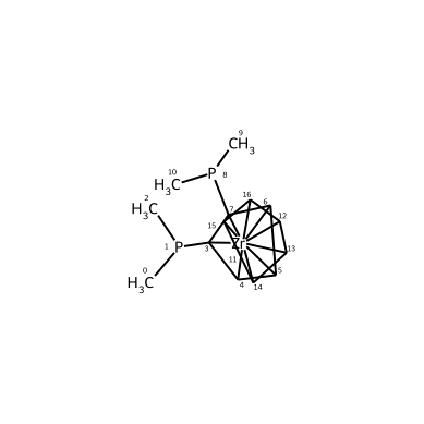 CP(C)[C]12[CH]3[CH]4[CH]5[C]1(P(C)C)[Zr]43521678[CH]2[CH]1[CH]6[CH]7[CH]28